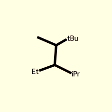 CCC(C(C)C)C(C)C(C)(C)C